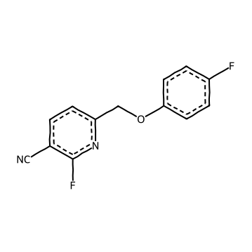 N#Cc1ccc(COc2ccc(F)cc2)nc1F